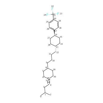 CC(C)CC[SiH]1CCC(CCCC[C@H]2CC[C@H](c3ccc(C(F)(F)F)cc3)CC2)CC1